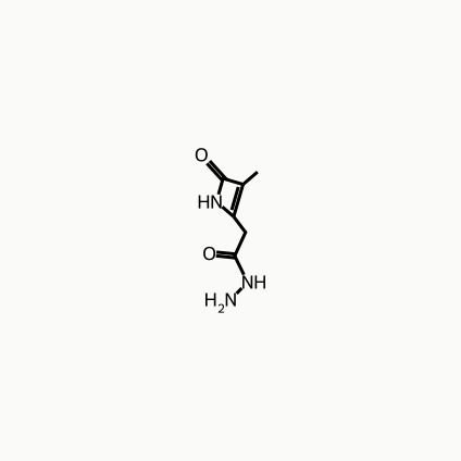 CC1=C(CC(=O)NN)NC1=O